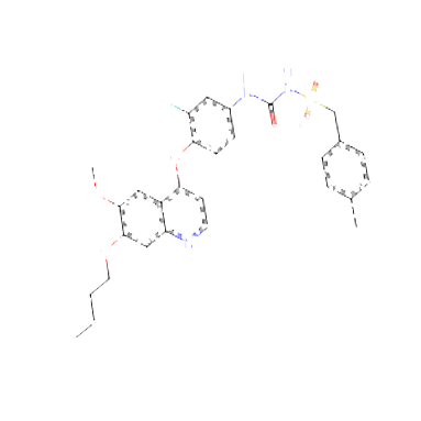 CCCCOc1cc2nccc(Oc3ccc(NC(=O)NS(=O)(=O)Cc4ccc(C)cc4)cc3F)c2cc1OC